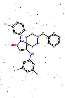 O=C1C=C(Nc2cc(F)cc(F)c2)C2(CCN(Cc3ccccc3)CC2)N1c1cccc(F)c1